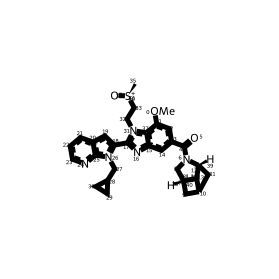 COc1cc(C(=O)N2C[C@H]3CC4C[C@@H]2[C@H]43)cc2nc(-c3cc4cccnc4n3CC3CC3)n(CC[S@+](C)[O-])c12